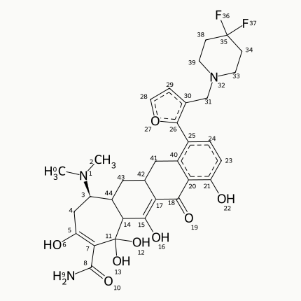 CN(C)[C@@H]1CC(O)=C(C(N)=O)C(O)(O)C2C(O)=C3C(=O)c4c(O)ccc(-c5occc5CN5CCC(F)(F)CC5)c4CC3CC21